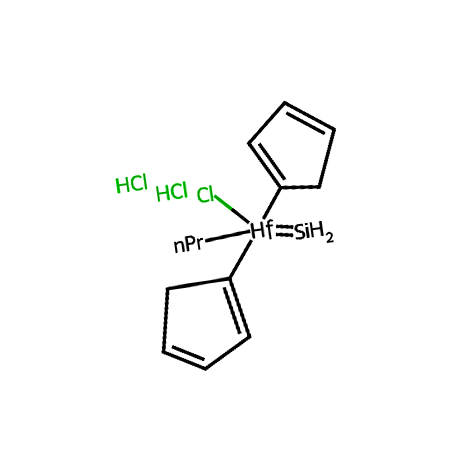 CC[CH2][Hf](=[SiH2])([Cl])([C]1=CC=CC1)[C]1=CC=CC1.Cl.Cl